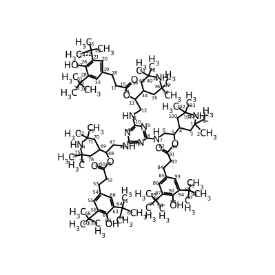 CC1(C)CC(C(CNc2nc(NCC(OC(=O)CCc3cc(C(C)(C)C)c(O)c(C(C)(C)C)c3)C3CC(C)(C)NC(C)(C)C3)nc(NCC(OC(=O)CCc3cc(C(C)(C)C)c(O)c(C(C)(C)C)c3)C3CC(C)(C)NC(C)(C)C3)n2)OC(=O)CCc2cc(C(C)(C)C)c(O)c(C(C)(C)C)c2)CC(C)(C)N1